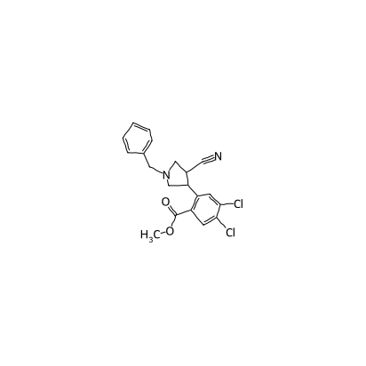 COC(=O)c1cc(Cl)c(Cl)cc1C1CN(Cc2ccccc2)CC1C#N